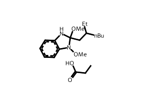 CCC(=O)O.CCCCC(CC)CC1(OC)Nc2ccccc2N1OC